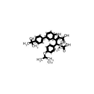 CC(C)Oc1ccc(C(c2c(C(=O)O)[nH]c3ccc(-c4ccc(C(C)(C)C)cc4)cc23)[N+](C)(C)C(=O)O)cc1.[Cl-]